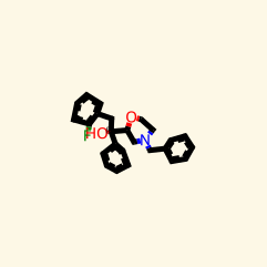 O[C@](Cc1ccccc1F)(c1ccccc1)C1CN(Cc2ccccc2)CCO1